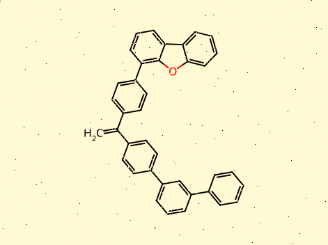 C=C(c1ccc(-c2cccc(-c3ccccc3)c2)cc1)c1ccc(-c2cccc3c2oc2ccccc23)cc1